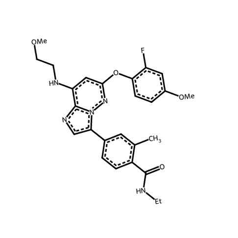 CCNC(=O)c1ccc(-c2cnc3c(NCCOC)cc(Oc4ccc(OC)cc4F)nn23)cc1C